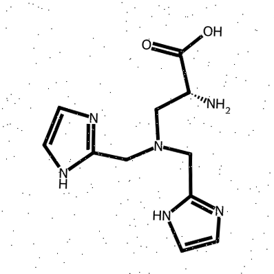 N[C@H](CN(Cc1ncc[nH]1)Cc1ncc[nH]1)C(=O)O